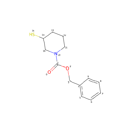 O=C(OCc1ccccc1)N1CCCC(S)C1